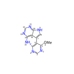 COc1ncncc1-c1c[nH]c2ncnc(N)c12